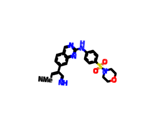 CN/C=C(\C=N)c1ccc2cnc(Nc3ccc(S(=O)(=O)N4CCOCC4)cc3)nc2c1